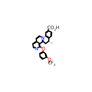 C[C@H](Cc1nccc2ccnc(Oc3cccc(OC(F)(F)F)c3)c12)c1ccc(C(=O)O)cc1